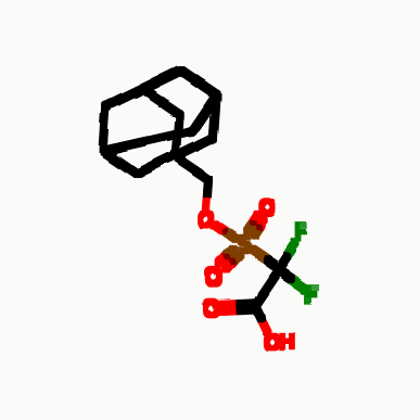 O=C(O)C(F)(F)S(=O)(=O)OCC12CC3CC(CC(C3)C1)C2